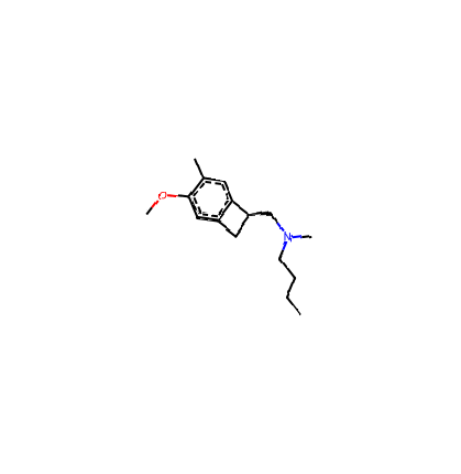 CCCCN(C)C[C@H]1Cc2cc(OC)c(C)cc21